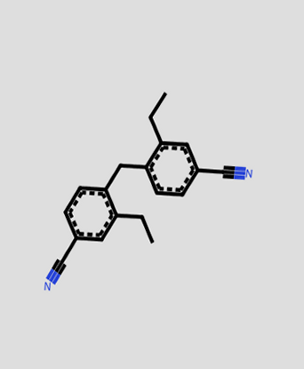 CCc1cc(C#N)ccc1Cc1ccc(C#N)cc1CC